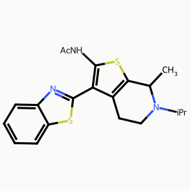 CC(=O)Nc1sc2c(c1-c1nc3ccccc3s1)CCN(C(C)C)C2C